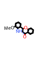 COc1cccc(C2CC(=O)c3ccccc3O2)c1N